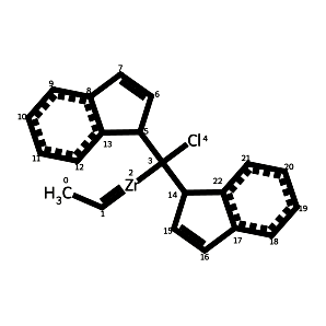 C[CH]=[Zr][C](Cl)(C1C=Cc2ccccc21)C1C=Cc2ccccc21